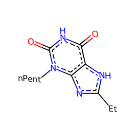 CCCCCn1c(=O)[nH]c(=O)c2[nH]c(CC)nc21